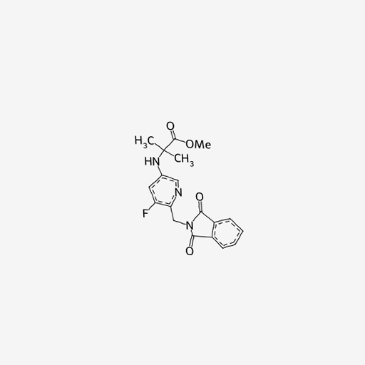 COC(=O)C(C)(C)Nc1cnc(CN2C(=O)c3ccccc3C2=O)c(F)c1